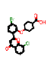 O=C(O)C1CCC(Oc2cc(Br)ccc2-c2cc(=O)c3cccc(Cl)c3o2)CC1